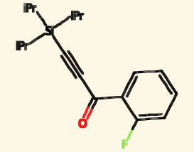 CC(C)[Si](C#CC(=O)c1ccccc1F)(C(C)C)C(C)C